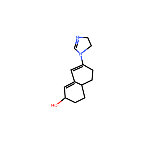 OC1C=C2C=C(N3C=NCC3)CCC2CC1